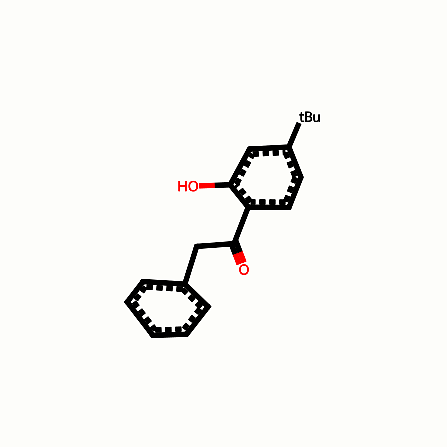 CC(C)(C)c1ccc(C(=O)Cc2ccccc2)c(O)c1